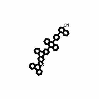 N#Cc1ccc(-c2ccc(-c3c4ccccc4c(-c4ccc5c(c4)c4ccccc4c4cc6c(cc54)sc4c5ccccc5c5ccccc5c64)c4ccccc34)cc2)c2ccccc12